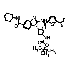 CC(C)(C)OC(=O)N[C@H]1C[C@@H](n2c(NC(=O)c3ccc(C(F)F)s3)nc3cc(C(=O)NC4CCCCC4)ccc32)C1